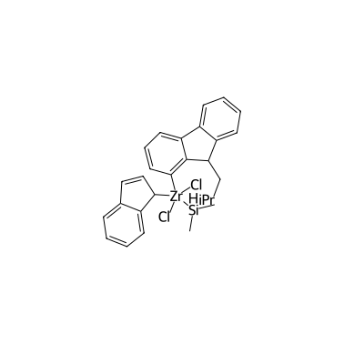 CC(C)CC1c2ccccc2-c2ccc[c]([Zr]([Cl])([Cl])([CH]3C=Cc4ccccc43)[SiH](C)C)c21